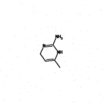 CC1=CCN=C(N)N1